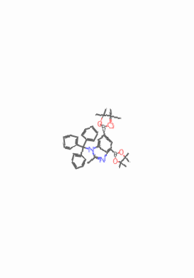 Cc1nc2c(B3OC(C)(C)C(C)(C)O3)cc(B3OC(C)(C)C(C)(C)O3)cc2n1C(c1ccccc1)(c1ccccc1)c1ccccc1